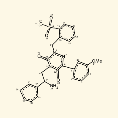 COc1cccc(-c2nn(Cc3ccccc3S(C)(=O)=O)c(=O)n(CC(N)c3ccccc3)c2=O)c1